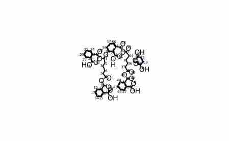 O=C(CCCCC(=O)OC(=O)c1ccccc1C(=O)O)OC(=O)c1ccccc1C(=O)O.O=C(CCCCC(=O)OC(=O)c1ccccc1C(=O)O)OC(=O)c1ccccc1C(=O)O.O=C(O)/C=C\C(=O)O